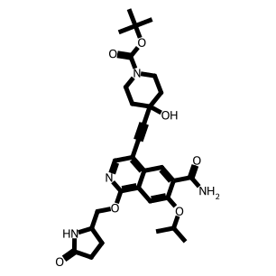 CC(C)Oc1cc2c(OCC3CCC(=O)N3)ncc(C#CC3(O)CCN(C(=O)OC(C)(C)C)CC3)c2cc1C(N)=O